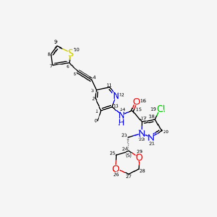 Cc1cc(C#Cc2cccs2)cnc1NC(=O)c1c(Cl)cnn1C[C@H]1COCCO1